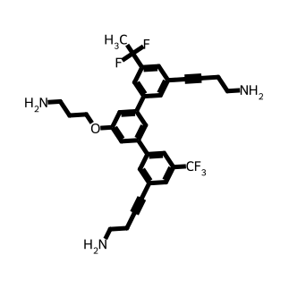 CC(F)(F)c1cc(C#CCCN)cc(-c2cc(OCCCN)cc(-c3cc(C#CCCN)cc(C(F)(F)F)c3)c2)c1